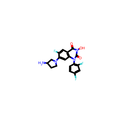 NC1CCN(c2cc3c(cc2F)c(=O)n(O)c(=O)n3-c2ccc(F)cc2F)C1